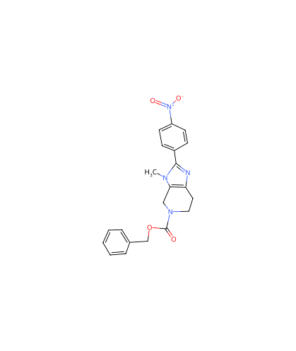 Cn1c(-c2ccc([N+](=O)[O-])cc2)nc2c1CN(C(=O)OCc1ccccc1)CC2